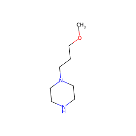 COCCCN1CCNCC1